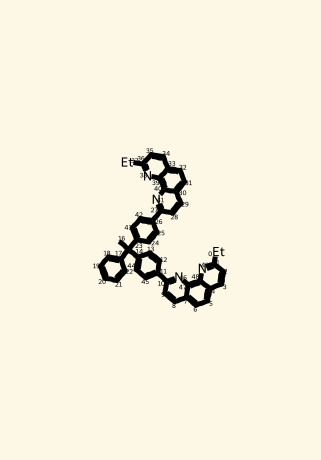 CCc1ccc2ccc3ccc(-c4ccc(C(C)(c5ccccc5)c5ccc(-c6ccc7ccc8ccc(CC)nc8c7n6)cc5)cc4)nc3c2n1